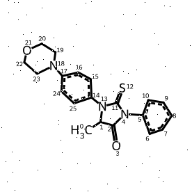 CC1C(=O)N(c2ccccc2)C(=S)N1c1ccc(N2CCOCC2)cc1